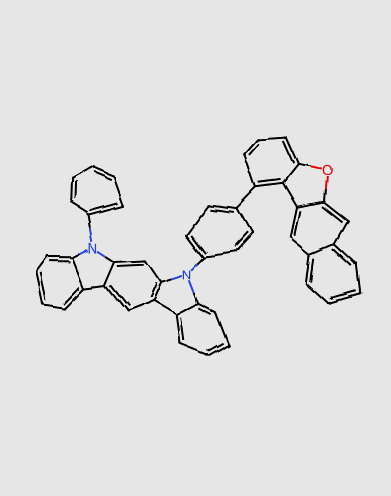 c1ccc(-n2c3ccccc3c3cc4c5ccccc5n(-c5ccc(-c6cccc7oc8cc9ccccc9cc8c67)cc5)c4cc32)cc1